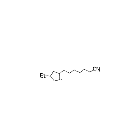 [CH2]CC1C[CH]C(CCCCCCC#N)C1